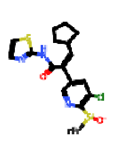 CCC[S+]([O-])c1ncc(C(=CC2CCCC2)C(=O)Nc2nccs2)cc1Cl